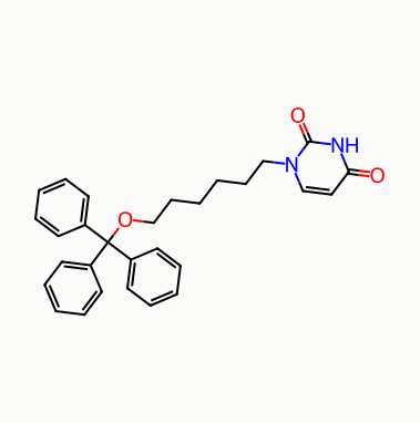 O=c1ccn(CCCCCCOC(c2ccccc2)(c2ccccc2)c2ccccc2)c(=O)[nH]1